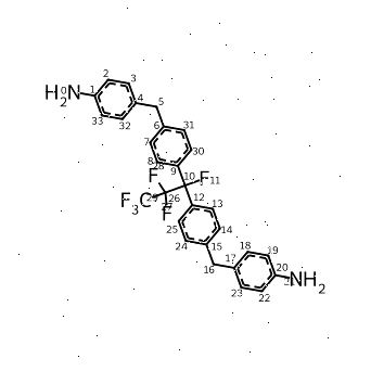 Nc1ccc(Cc2ccc(C(F)(c3ccc(Cc4ccc(N)cc4)cc3)C(F)(F)C(F)(F)F)cc2)cc1